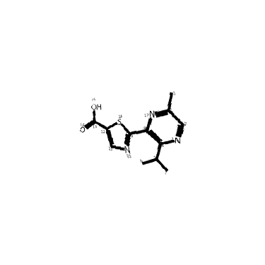 Cc1cnc(C(C)C)c(-c2ncc(C(=O)O)s2)n1